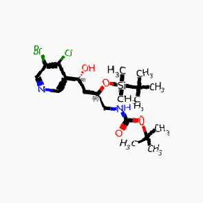 CC(C)(C)OC(=O)NC[C@@H](C[C@@H](O)c1cncc(Br)c1Cl)O[Si](C)(C)C(C)(C)C